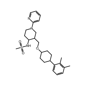 Cc1cccc(C2CCC(OCC3CN(c4ccccn4)CCC3NS(C)(=O)=O)CC2)c1C